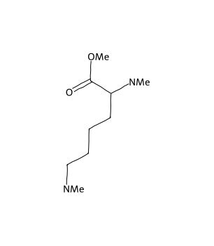 CNCCCCC(NC)C(=O)OC